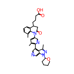 Cc1cc(N2C(=O)CC(CCCC(=O)O)c3cccc(C)c32)cnc1-c1cncc2c1c(C)nn2C1CCCCO1